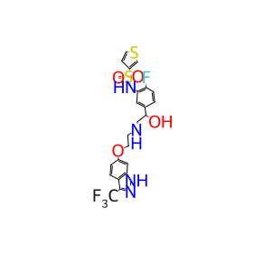 O=S(=O)(Nc1cc(C(O)CNCCOc2ccc3c(C(F)(F)F)n[nH]c3c2)ccc1F)c1ccsc1